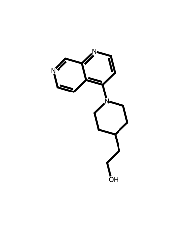 OCCC1CCN(c2ccnc3cnccc23)CC1